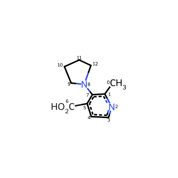 Cc1nccc(C(=O)O)c1N1CCCC1